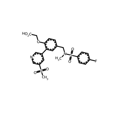 CN(Cc1ccc(OCC(=O)O)c(-c2cncc(S(C)(=O)=O)c2)c1)S(=O)(=O)c1ccc(F)cc1